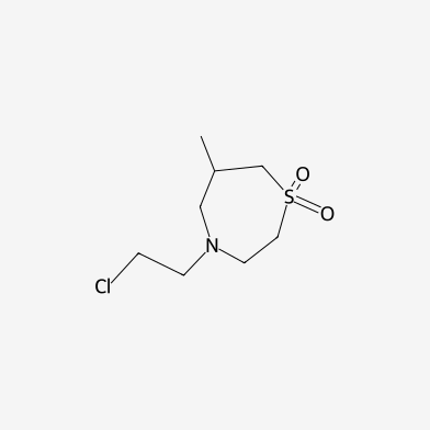 CC1CN(CCCl)CCS(=O)(=O)C1